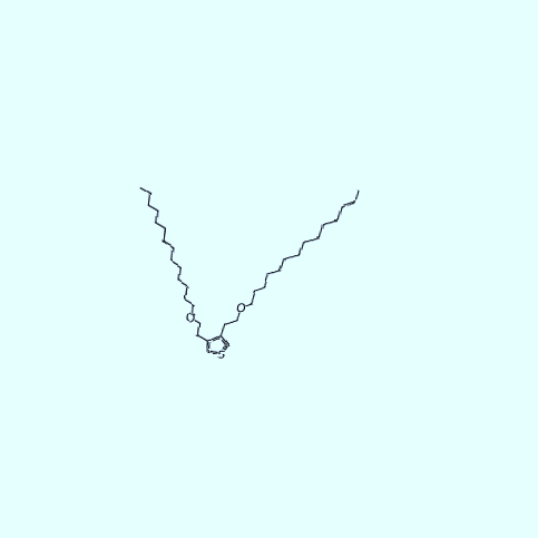 CCCCCCCCCCCCCCOCCc1cscc1CCOCCCCCCCCCCCCCC